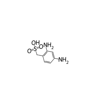 Nc1ccc(CS(=O)(=O)O)c(N)c1